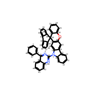 c1ccc(-c2nc(-n3c4ccccc4c4cc5c(cc43)C3(c4ccccc4O5)c4ccccc4-c4ccccc43)nc3ccccc23)cc1